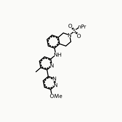 CCCS(=O)(=O)N1CCc2c(cccc2Nc2ccc(C)c(-c3ccc(OC)nn3)n2)C1